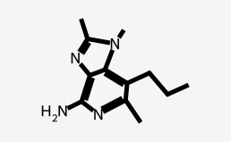 CCCc1c(C)nc(N)c2nc(C)n(C)c12